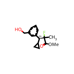 COC(=O)C(C)(F)[C@H](c1cccc(CO)c1)C1CC1